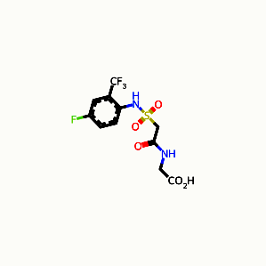 O=C(O)CNC(=O)CS(=O)(=O)Nc1ccc(F)cc1C(F)(F)F